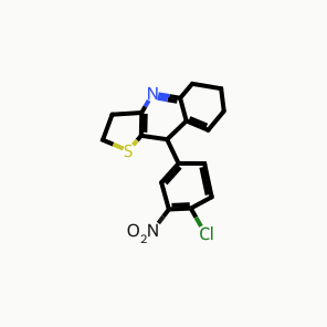 O=[N+]([O-])c1cc(C2C3=CCCCC3=NC3=C2SCC3)ccc1Cl